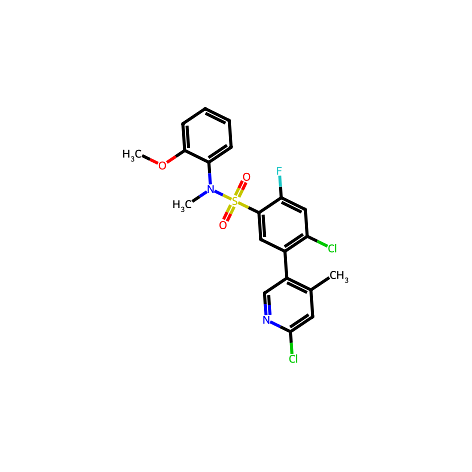 COc1ccccc1N(C)S(=O)(=O)c1cc(-c2cnc(Cl)cc2C)c(Cl)cc1F